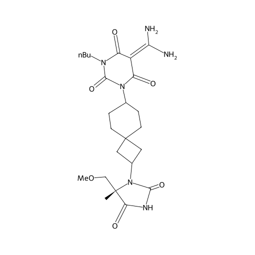 CCCCN1C(=O)C(=C(N)N)C(=O)N(C2CCC3(CC2)CC(N2C(=O)NC(=O)[C@]2(C)COC)C3)C1=O